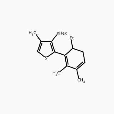 CCCCCCc1c(C)csc1C1=C(C)C(C)=CCC1CC